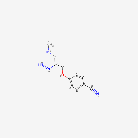 CN/C=C(/COc1ccc(C#N)cc1)N=N